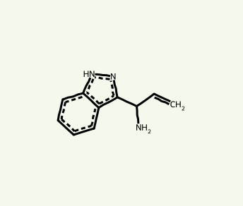 C=CC(N)c1n[nH]c2ccccc12